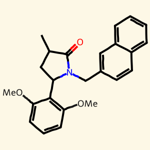 COc1cccc(OC)c1C1CC(C)C(=O)N1Cc1ccc2ccccc2c1